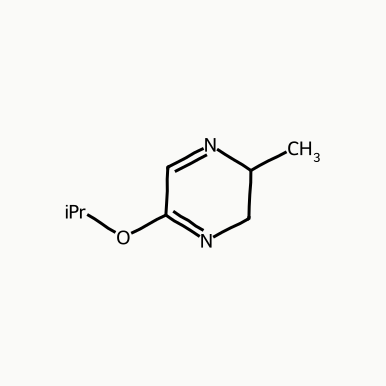 CC1CN=C(OC(C)C)C=N1